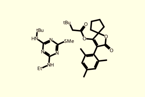 CCNc1nc(NC(C)(C)C)nc(SC)n1.Cc1cc(C)c(C2=C(OC(=O)CC(C)(C)C)C3(CCCC3)OC2=O)c(C)c1